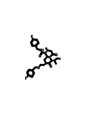 CCC(C)[C@H]1C(=O)N(CCOCc2ccc(F)cc2)CC2N1C(=O)CN(C)N2C(=O)NCc1ccc(F)cc1